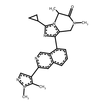 Cc1c(-c2cc3cccc(-c4nc(C5CC5)n5c4CN(C)C(=O)C5C)c3cn2)cnn1C